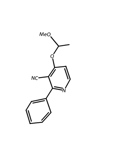 COC(C)Oc1ccnc(-c2ccccc2)c1C#N